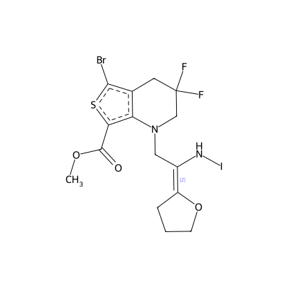 COC(=O)c1sc(Br)c2c1N(C/C(NI)=C1\CCCO1)CC(F)(F)C2